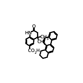 CC1(C)CC(=O)Nc2ccc(C(=O)O)cc21.c1ccc2c(c1)ccc1c3c(ccc12)CCCC3